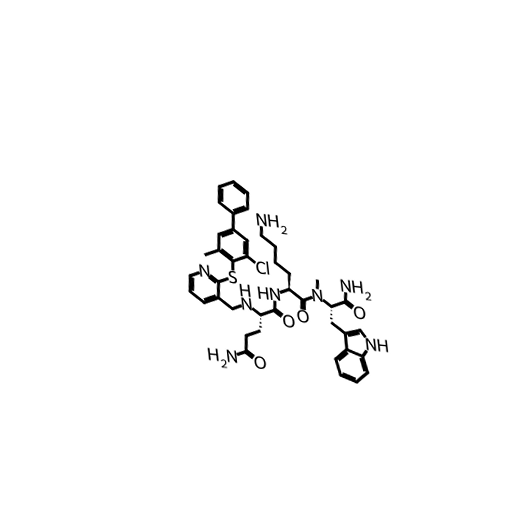 Cc1cc(-c2ccccc2)cc(Cl)c1Sc1ncccc1CN[C@@H](CCC(N)=O)C(=O)N[C@@H](CCCCN)C(=O)N(C)[C@@H](Cc1c[nH]c2ccccc12)C(N)=O